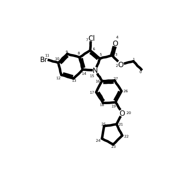 CCOC(=O)c1c(Cl)c2cc(Br)ccc2n1-c1ccc(OC2CCCC2)cc1